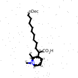 CCCCCCCCCCCCCCCCCCCC(C(=O)O)c1ccc[n+](C)c1C